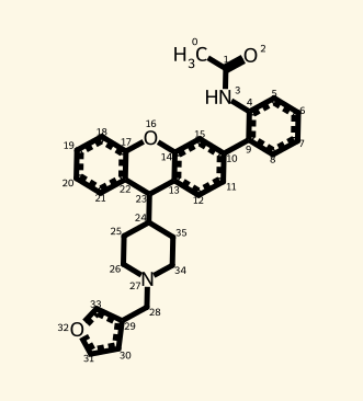 CC(=O)Nc1ccccc1-c1ccc2c(c1)Oc1ccccc1C2C1CCN(Cc2ccoc2)CC1